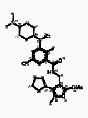 CCN(c1cc(Cl)cc(C(=O)NCc2c(OC)nn(C)c2N2CCCC2)c1C)C1CCC(N(C)C)CC1